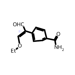 CCO/C=C(/C=O)c1ccc(C(N)=O)cc1